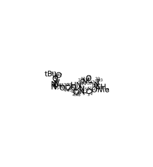 COc1ccc(Cn2nc(N[C@@H]3CCN(C(=O)/C=C/CN(C)C4CC4)C3)c3c(Oc4ccc(OCc5cnnn5COC(=O)C(C)(C)C)cc4)cccc32)cc1